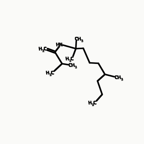 C=C(NC(C)(C)CCCC(C)CCC)C(C)C